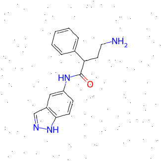 NCCC(C(=O)Nc1ccc2[nH]ncc2c1)c1ccccc1